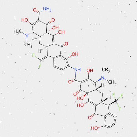 CN(C)[C@@H]1C(O)=C(C(N)=O)C(=O)[C@@]2(O)C(O)=C3C(=O)c4c(ccc(NC(=O)C5=C(O)[C@@H](N(C)C)[C@@H]6C[C@H]7C(=C(O)[C@]6(O)C5=O)C(=O)c5c(O)cccc5[C@@H]7C(F)(F)F)c4O)C(=C(F)F)[C@H]3C[C@@H]12